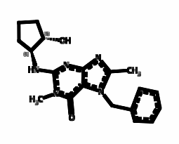 Cc1nc2nc(N[C@H]3CCC[C@@H]3O)n(C)c(=O)c2n1Cc1ccccc1